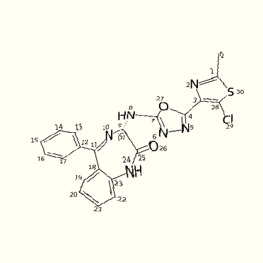 Cc1nc(-c2nnc(N[C@H]3N=C(c4ccccc4)c4ccccc4NC3=O)o2)c(Cl)s1